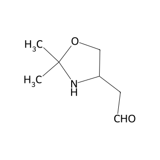 CC1(C)NC(CC=O)CO1